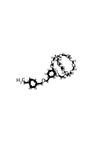 C=Cc1ccc(COCc2ccc3c(c2)OCCN2CCOCCOCCN(CCOCCOCC2)CCO3)cc1